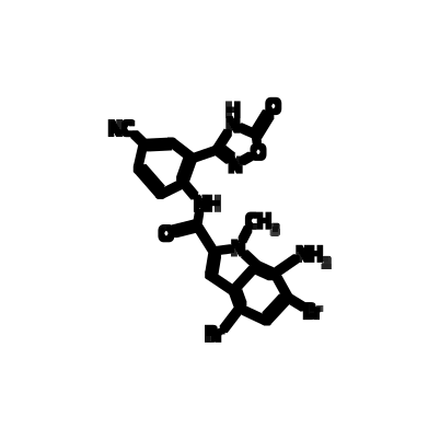 Cn1c(C(=O)Nc2ccc(C#N)cc2-c2noc(=O)[nH]2)cc2c(Br)cc(Br)c(N)c21